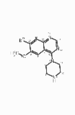 COc1cc2c(N3CCNCC3)ncnc2cc1Br